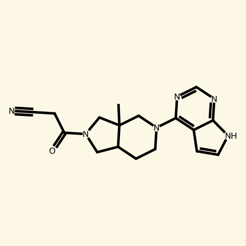 CC12CN(C(=O)CC#N)CC1CCN(c1ncnc3[nH]ccc13)C2